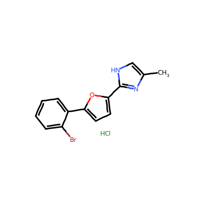 Cc1c[nH]c(-c2ccc(-c3ccccc3Br)o2)n1.Cl